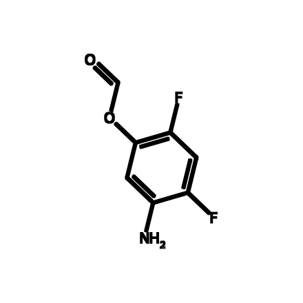 Nc1cc(OC=O)c(F)cc1F